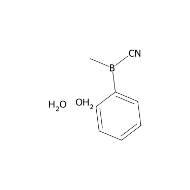 CB(C#N)c1ccccc1.O.O